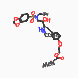 CNC(=O)OCCOc1ccc(C[C@H](NC(=O)O)[C@@H](O)CN(CC(C)C)S(=O)(=O)c2ccc3c(c2)OCO3)cc1